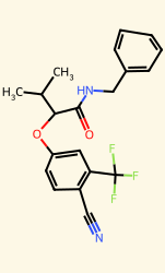 CC(C)C(Oc1ccc(C#N)c(C(F)(F)F)c1)C(=O)NCc1ccccc1